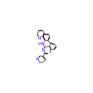 C=C(/N=C(/NCc1ccccn1)c1c(C)cccc1-c1ccccc1)C1=CCCN=C1